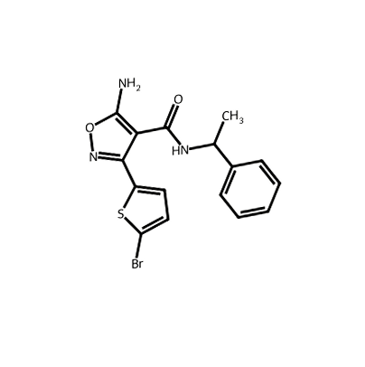 CC(NC(=O)c1c(-c2ccc(Br)s2)noc1N)c1ccccc1